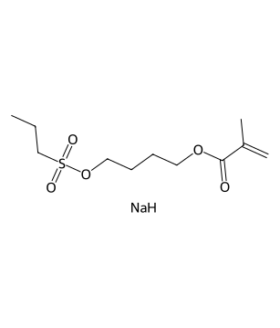 C=C(C)C(=O)OCCCCOS(=O)(=O)CCC.[NaH]